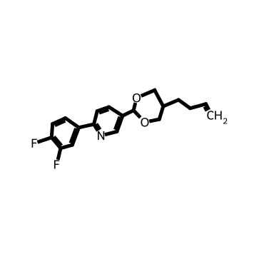 C=CCCC1COC(c2ccc(-c3ccc(F)c(F)c3)nc2)OC1